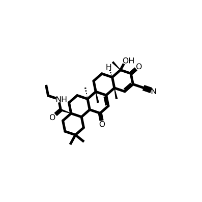 CCNC(=O)[C@]12CCC(C)(C)CC1C1C(=O)C=C3[C@@]4(C)C=C(C#N)C(=O)[C@@](C)(O)[C@@H]4CC[C@@]3(C)[C@]1(C)CC2